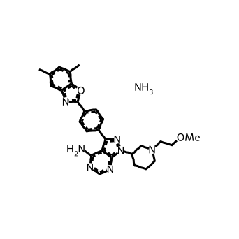 COCCN1CCCC(n2nc(-c3ccc(-c4nc5cc(C)cc(C)c5o4)cc3)c3c(N)ncnc32)C1.N